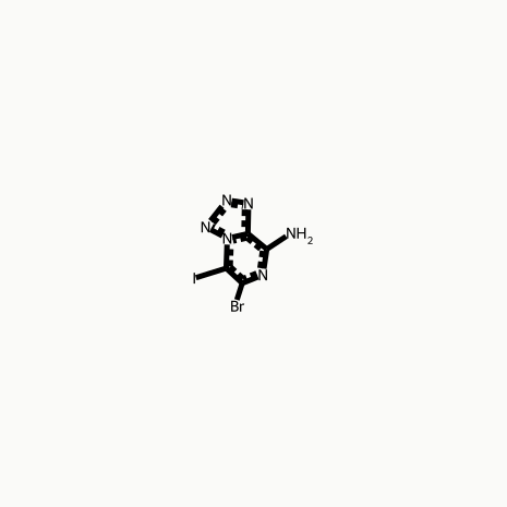 Nc1nc(Br)c(I)n2nnnc12